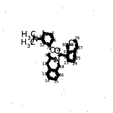 CN(C)c1cccc(OCC2Cc3ccccc3CN2C(=O)c2cccc3ccccc23)c1